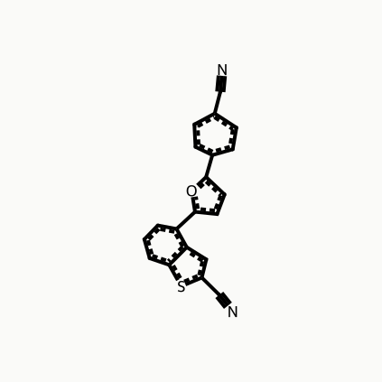 N#Cc1ccc(-c2ccc(-c3cccc4sc(C#N)cc34)o2)cc1